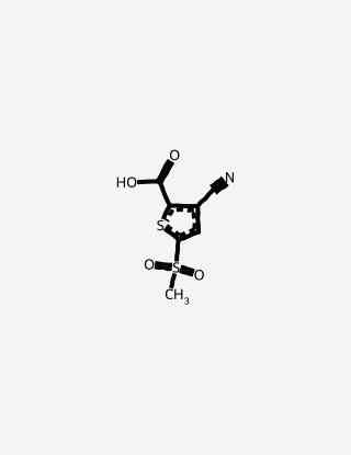 CS(=O)(=O)c1cc(C#N)c(C(=O)O)s1